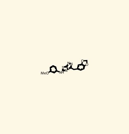 COc1cccc(Nc2nn3c(Cc4ccc5c(c4)OCO5)nnc3s2)c1